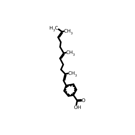 CC(C)=CCC/C(C)=C/CC/C(C)=C/c1ccc(C(=O)O)cc1